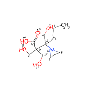 CCCC(CO)(N1CC1)C(CO)(CO)C(=O)O